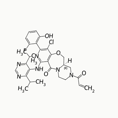 C=CC(=O)N1CCN2C(=O)c3c(Nc4c(C(C)C)ncnc4C(C)C)nc(-c4c(O)cccc4F)c(Cl)c3OC[C@H]2C1